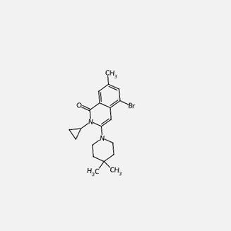 Cc1cc(Br)c2cc(N3CCC(C)(C)CC3)n(C3CC3)c(=O)c2c1